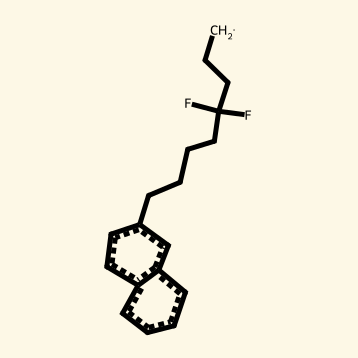 [CH2]CCC(F)(F)CCCCc1ccc2ccccc2c1